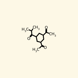 CC(=O)C1CC(C(C)=O)CC(C(=O)C(C)C)C1